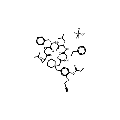 C#CCOc1cc(C[N+]2(CC(=O)N[C@@H](CCc3ccccc3)C(=O)N[C@@H](CC(C)C)C(=O)N[C@@H](Cc3ccccc3)C(=O)N[C@@H](CC(C)C)C(=O)[C@@]3(C)CO3)CCOCC2)ccc1OC(=O)CC.CS(=O)(=O)[O-]